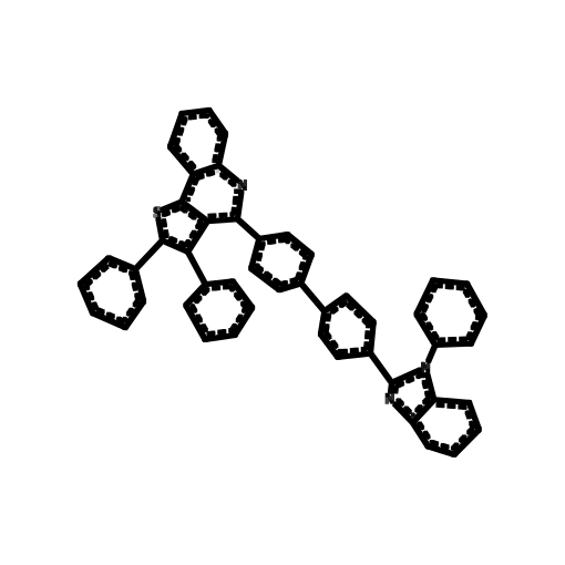 c1ccc(-c2sc3c(c(-c4ccc(-c5ccc(-c6nc7ccccc7n6-c6ccccc6)cc5)cc4)nc4ccccc43)c2-c2ccccc2)cc1